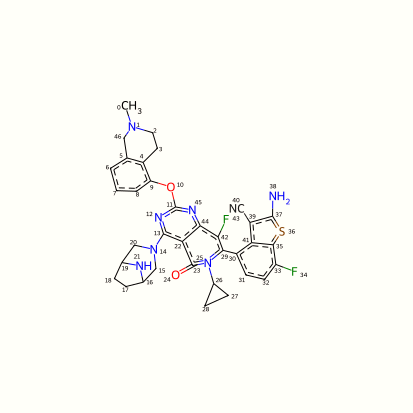 CN1CCc2c(cccc2Oc2nc(N3CC4CCC(C3)N4)c3c(=O)n(C4CC4)c(-c4ccc(F)c5sc(N)c(C#N)c45)c(F)c3n2)C1